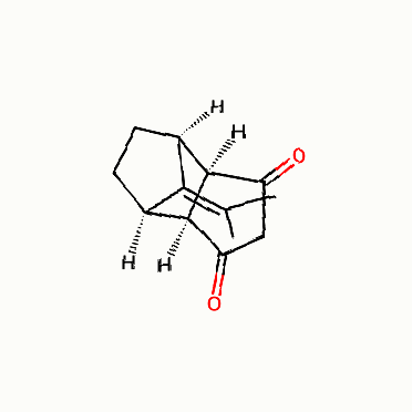 CC(C)=C1[C@H]2CC[C@@H]1[C@@H]1C(=O)CC(=O)[C@@H]12